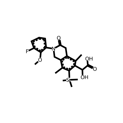 COc1c(F)cccc1N1Cc2c(C)c([Si](C)(C)C)c(C(O)C(=O)O)c(C)c2CC1=O